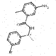 Cc1ccc(N)cc1C(=O)N[C@H](C)c1cccc(Br)c1